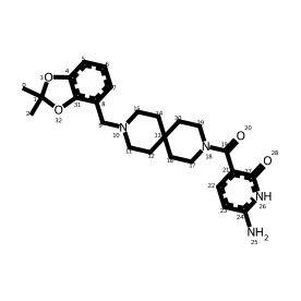 CC1(C)Oc2cccc(CN3CCC4(CC3)CCN(C(=O)c3ccc(N)[nH]c3=O)CC4)c2O1